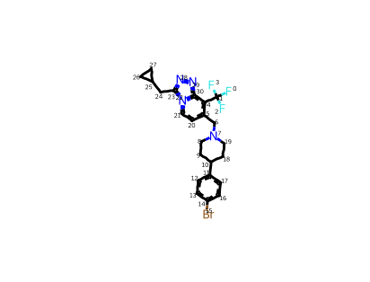 FC(F)(F)c1c(CN2CCC(c3ccc(Br)cc3)CC2)ccn2c(CC3CC3)nnc12